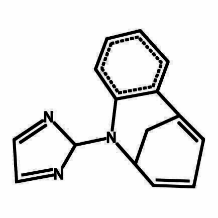 C1=CC2CC(=C1)c1ccccc1N2C1N=CC=N1